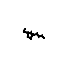 CCCCC1=CC(CC)CC1